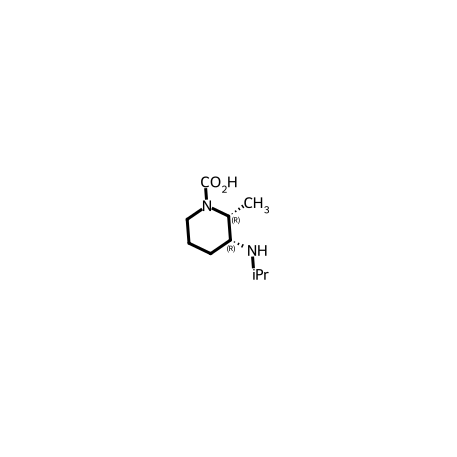 CC(C)N[C@@H]1CCCN(C(=O)O)[C@@H]1C